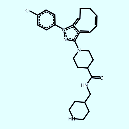 O=C(NCC1CCNCC1)C1CCN(c2nn(-c3ccc(Cl)cc3)c3/c2=C\C=C/CC/C=3)CC1